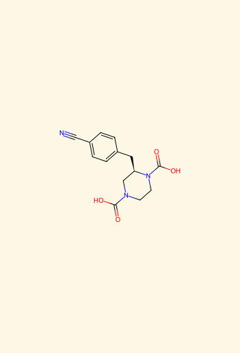 N#Cc1ccc(C[C@@H]2CN(C(=O)O)CCN2C(=O)O)cc1